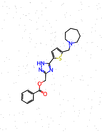 O=C(OCc1n[nH]c(-c2ccc(CN3CCCCCC3)s2)n1)c1ccccc1